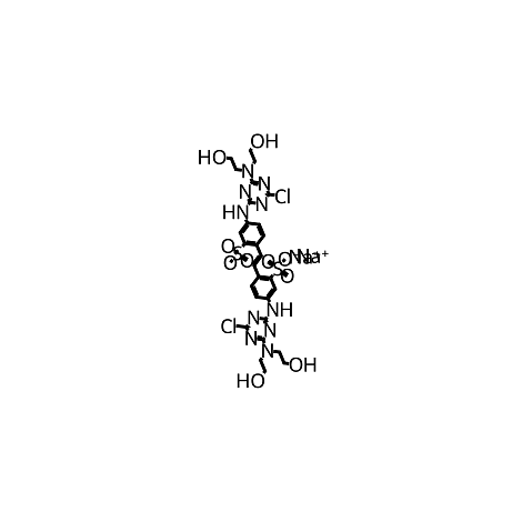 O=S(=O)([O-])c1cc(Nc2nc(Cl)nc(N(CCO)CCO)n2)ccc1C=Cc1ccc(Nc2nc(Cl)nc(N(CCO)CCO)n2)cc1S(=O)(=O)[O-].[Na+].[Na+]